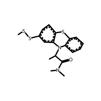 CSSc1ccc2c(c1)N(C(C)C(=O)N(C)C)c1ccccc1S2